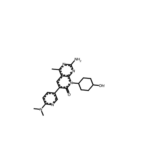 Cc1nc(N)nc2c1cc(-c1ccc(N(C)C)nc1)c(=O)n2C1CCC(O)CC1